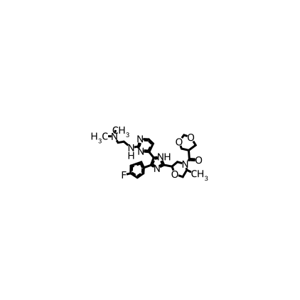 CC1COC(c2nc(-c3ccc(F)cc3)c(-c3ccnc(NCCN(C)C)n3)[nH]2)CN1C(=O)C1COCOC1